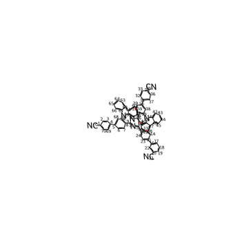 N#Cc1ccc(-c2ccc(-c3nc(-c4ccc(-c5cccc(C#N)c5)cc4)nc(-c4ccc(-c5ccc(C#N)cc5)cc4-n4c5ccccc5c5ccccc54)n3)c(-n3c4ccccc4c4ccccc43)c2)cc1